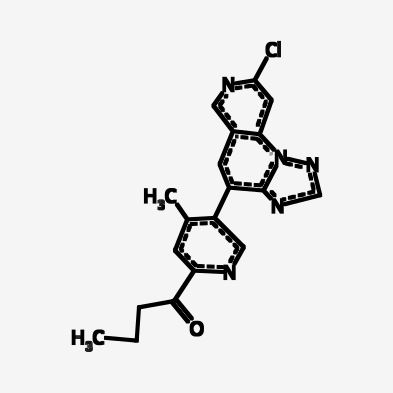 CCCC(=O)c1cc(C)c(-c2cc3cnc(Cl)cc3n3ncnc23)cn1